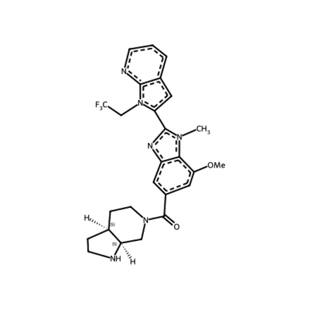 COc1cc(C(=O)N2CC[C@@H]3CCN[C@@H]3C2)cc2nc(-c3cc4cccnc4n3CC(F)(F)F)n(C)c12